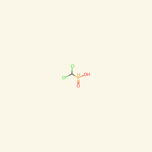 O=[PH](O)C(Cl)Cl